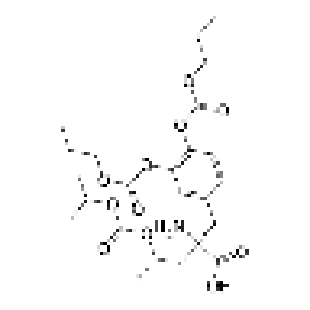 CCCOC(=O)Oc1ccc(CC(N)(C[C@H](C)OC(=O)OC(C)C)C(=O)O)cc1OC(=O)OCCC